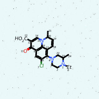 CCN1CCN(c2c(Cl)cc3c(=O)c(C(=O)O)cn4c3c2C=CC4C)CC1C